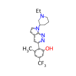 CCN1CCC[C@@H](n2ccc3cc(-c4c(C)cc(C(F)(F)F)cc4O)nnc32)C1